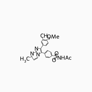 COc1ccc(-c2nc3nc(C)ccn3c2-c2ccc(S(=O)(=O)NC(C)=O)cc2)cc1C